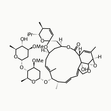 CO[C@H]1C[C@H](O[C@H]2[C@H](C)O[C@@H](O[C@@H]3/C(C)=C/C[C@@H]4C[C@@H](C[C@]5(C=C[C@H](C)[C@@H](C(C)C)O5)O4)OC(=O)[C@@H]4C=C(C)[C@H]5O[C@@]56OC/C(=C\C=C\[C@@H]3C)[C@@]46O)C[C@@H]2OC)O[C@@H](C)[C@@H]1O